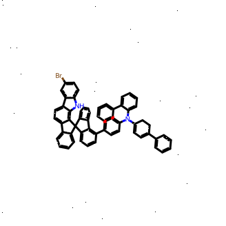 Brc1ccc2[nH]c3c4c(ccc3c2c1)-c1ccccc1C41c2ccccc2-c2c(-c3ccc(N(C4=CC=C(c5ccccc5)CC4)c4ccccc4C4=C=C=CC=C4)cc3)cccc21